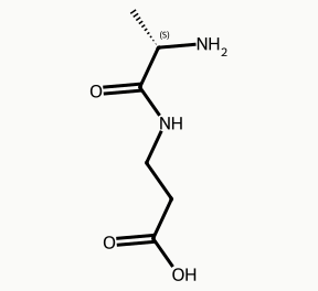 C[C@H](N)C(=O)NCCC(=O)O